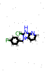 Fc1ccc(CN2c3cccnc3NC2Cl)cc1